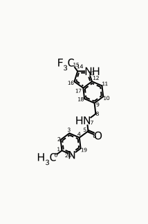 Cc1ccc(C(=O)NCc2ccc3[nH]c(C(F)(F)F)cc3c2)cn1